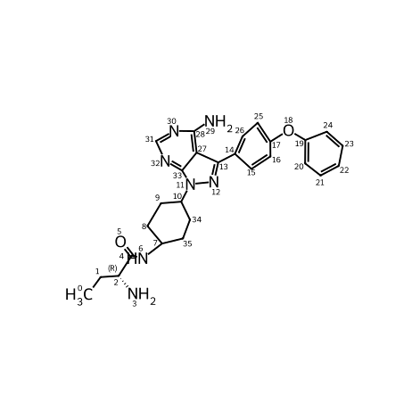 CC[C@@H](N)C(=O)NC1CCC(n2nc(-c3ccc(Oc4ccccc4)cc3)c3c(N)ncnc32)CC1